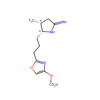 N=C1C[C@@H](C(F)(F)F)[C@@H](CCCc2nc(OC(=O)O)co2)N1